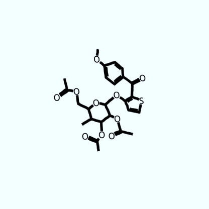 COc1ccc(C(=O)c2sccc2OC2OC(COC(C)=O)C(C)C(OC(C)=O)C2OC(C)=O)cc1